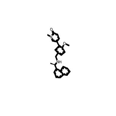 COc1ccc(CN[C@H](C)c2cccc3ccccc23)cc1-c1ccc(=O)n(C)c1